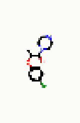 CC(Oc1ccc(Br)cc1)C(=O)N1CCNCC1